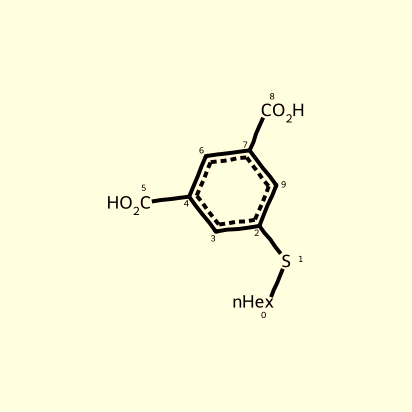 CCCCCCSc1cc(C(=O)O)cc(C(=O)O)c1